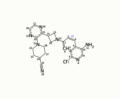 C=C(/C=C\c1cc(Cl)ncc1N)N1CC(c2nccnc2N2CCC(C#N)CC2)C1